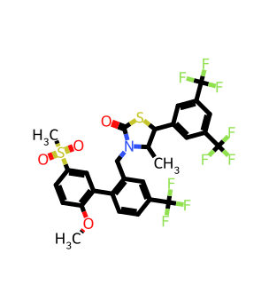 COc1ccc(S(C)(=O)=O)cc1-c1ccc(C(F)(F)F)cc1CN1C(=O)SC(c2cc(C(F)(F)F)cc(C(F)(F)F)c2)C1C